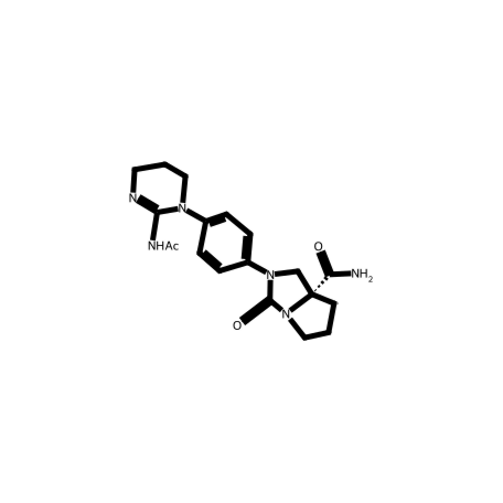 CC(=O)NC1=NCCCN1c1ccc(N2C[C@@]3(C(N)=O)[CH]CCN3C2=O)cc1